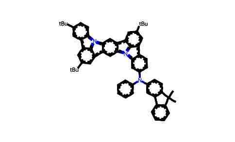 CC(C)(C)c1ccc2c(c1)c1cc(C(C)(C)C)cc3c4cc5c(cc4n2c13)c1cc(C(C)(C)C)cc2c3ccc(N(c4ccccc4)c4ccc6c(c4)-c4ccccc4C6(C)C)cc3n5c21